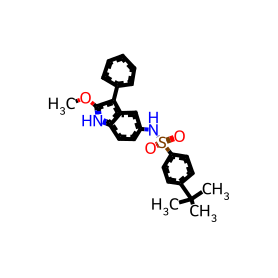 COc1[nH]c2ccc(NS(=O)(=O)c3ccc(C(C)(C)C)cc3)cc2c1-c1ccccc1